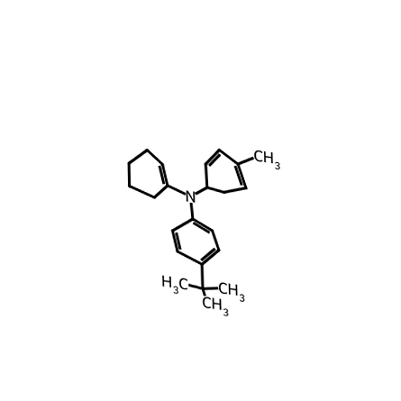 CC1=CCC(N(C2=CCCCC2)c2ccc(C(C)(C)C)cc2)C=C1